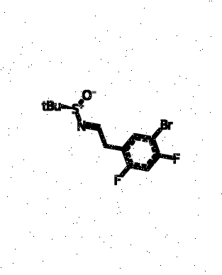 CC(C)(C)[S@@+]([O-])/N=C/Cc1cc(Br)c(F)cc1F